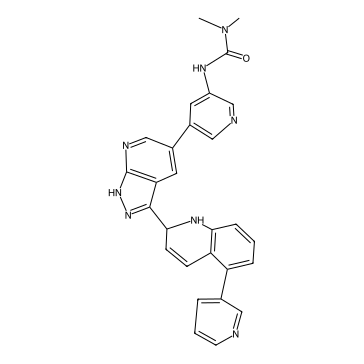 CN(C)C(=O)Nc1cncc(-c2cnc3[nH]nc(C4C=Cc5c(cccc5-c5cccnc5)N4)c3c2)c1